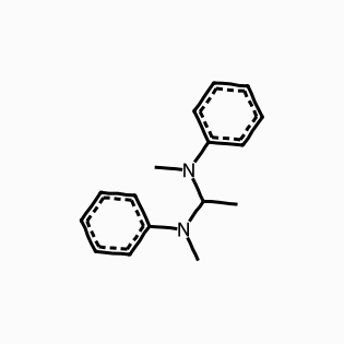 CC(N(C)c1ccccc1)N(C)c1ccccc1